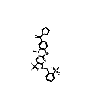 COc1cc(C(=O)N2CCCC2)ccc1Nc1ncc(C(F)(F)F)c(NCc2ccccc2S(C)(=O)=O)n1